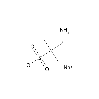 CC(C)(CN)S(=O)(=O)[O-].[Na+]